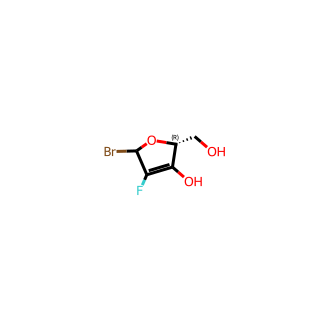 OC[C@H]1OC(Br)C(F)=C1O